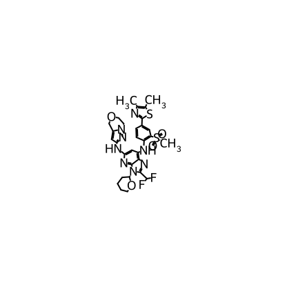 Cc1nc(-c2ccc(Nc3cc(Nc4cc5n(n4)CCOC5)nc4c3nc(C(F)F)n4C3CCCCO3)c(S(C)(=O)=O)c2)sc1C